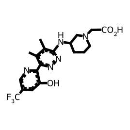 Cc1c(NC2CCCN(CC(=O)O)C2)nnc(-c2ncc(C(F)(F)F)cc2O)c1C